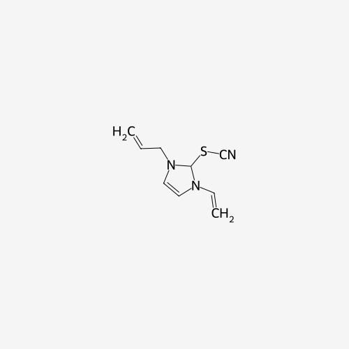 C=CCN1C=CN(C=C)C1SC#N